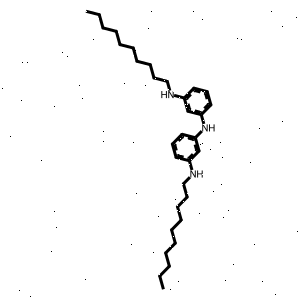 CCCCCCCCCCNc1cccc(Nc2cccc(NCCCCCCCCCC)c2)c1